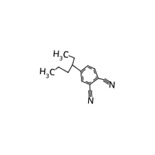 CCCC(CC)c1ccc(C#N)c(C#N)c1